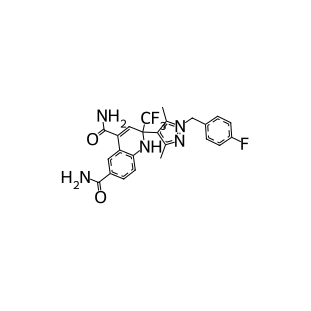 Cc1nn(Cc2ccc(F)cc2)c(C)c1C1(C(F)(F)F)C=C(C(N)=O)c2cc(C(N)=O)ccc2N1